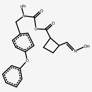 CCCN(Cc1ccc(Oc2ccccc2)cc1)C(=O)OC(=O)C1CCC1C=NO